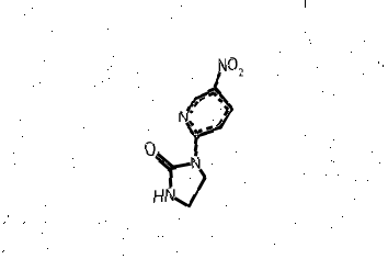 O=C1NCCN1c1ccc([N+](=O)[O-])cn1